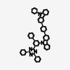 c1ccc(-c2cc(-c3nc(-c4ccccc4)nc(-c4ccccc4)n3)cc(-n3c4ccccc4c4ccc(-c5ccc(-c6ccc7c(c6)c6ccccc6n7-c6ccccc6)cc5)cc43)c2)cc1